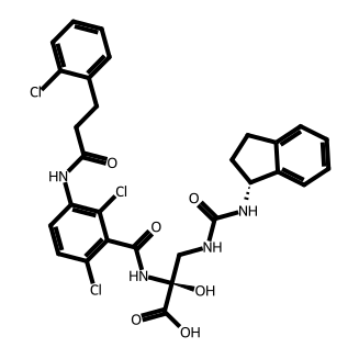 O=C(CCc1ccccc1Cl)Nc1ccc(Cl)c(C(=O)N[C@](O)(CNC(=O)N[C@@H]2CCc3ccccc32)C(=O)O)c1Cl